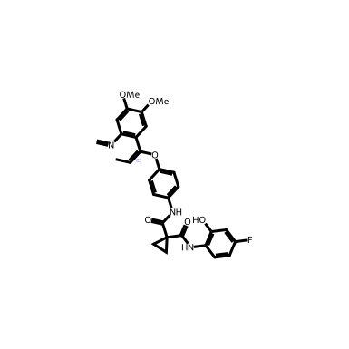 C=Nc1cc(OC)c(OC)cc1/C(=C\C)Oc1ccc(NC(=O)C2(C(=O)Nc3ccc(F)cc3O)CC2)cc1